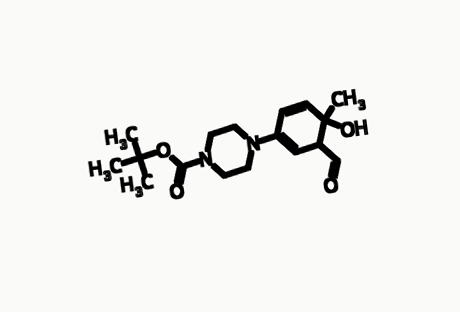 CC(C)(C)OC(=O)N1CCN(C2=CC(C=O)C(C)(O)C=C2)CC1